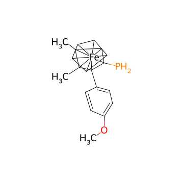 COc1ccc([C]23[C]4(P)[CH]5[C]6(C)[C]2(C)[Fe]56432789[CH]3[CH]2[CH]7[CH]8[CH]39)cc1